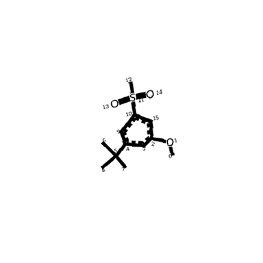 COc1cc(C(C)(C)C)cc(S(C)(=O)=O)c1